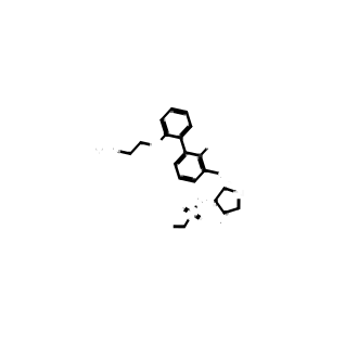 CNCCOc1ccccc1-c1cccc(C[C@@H]2NC[C@H](C)[C@@H]2NS(=O)(=O)CF)c1F